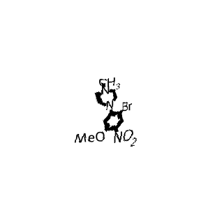 COc1cc(N2CCN(C)CC2)c(Br)cc1[N+](=O)[O-]